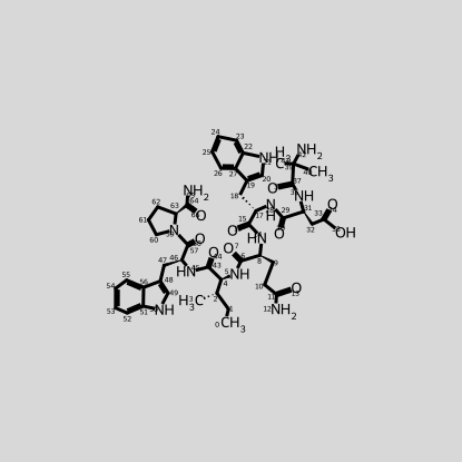 CC[C@H](C)[C@H](NC(=O)[C@H](CCC(N)=O)NC(=O)[C@H](Cc1c[nH]c2ccccc12)NC(=O)[C@H](CC(=O)O)NC(=O)C(C)(C)N)C(=O)N[C@@H](Cc1c[nH]c2ccccc12)C(=O)N1CCC[C@H]1C(N)=O